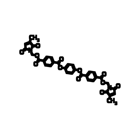 CC1=CC(=O)N(COC(=O)c2ccc(C(=O)Oc3ccc(OC(=O)c4ccc(C(=O)OCN5C(=O)C=C(C)C5=O)cc4)cc3)cc2)C1=O